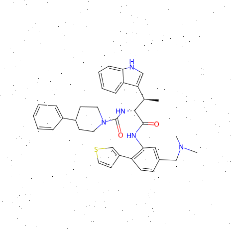 C[C@H](c1c[nH]c2ccccc12)[C@@H](NC(=O)N1CCC(c2ccccc2)CC1)C(=O)Nc1cc(CN(C)C)ccc1-c1ccsc1